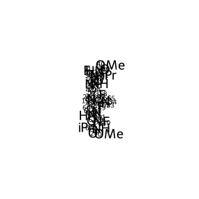 COC(=O)N[C@H](C(=O)N1C[C@H](F)CC1c1nc2cc([C@H]3CC[C@H](c4ccc5[nH]c([C@@H]6C[C@@H](F)CN6C(=O)[C@@H](NC(=O)OC)C(C)C)nc5c4)N3c3cc(F)c(N4CCCCC4)c(F)c3)ccc2[nH]1)C(C)C